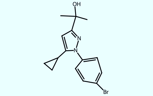 CC(C)(O)c1cc(C2CC2)n(-c2ccc(Br)cc2)n1